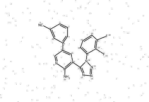 N#Cc1cccc(-c2cnc(N)c(-c3nnnn3-c3cccc(F)c3F)c2)c1